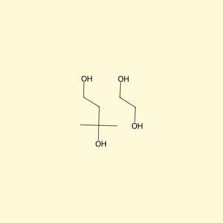 CC(C)(O)CCO.OCCO